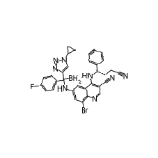 BC(Nc1cc(Br)c2ncc(C#N)c(N[C@H](CCC#N)c3ccccc3)c2c1)(c1ccc(F)cc1)c1cn(C2CC2)nn1